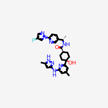 Cc1cc(Nc2cc(C)[nH]n2)nc([C@]2(O)CC[C@@H](C(=O)N[C@@H](C)c3ccc(-n4cc(F)cn4)nc3)CC2)c1